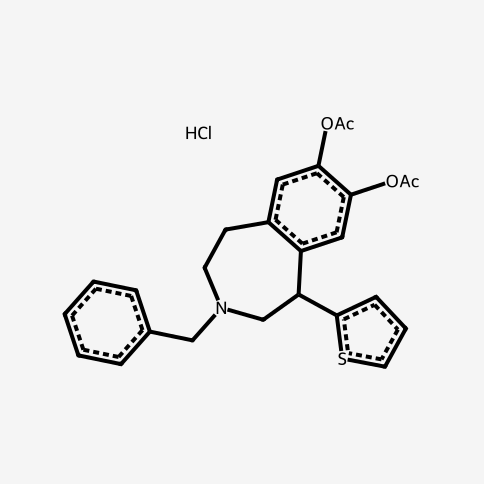 CC(=O)Oc1cc2c(cc1OC(C)=O)C(c1cccs1)CN(Cc1ccccc1)CC2.Cl